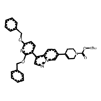 CC(C)(C)OC(=O)N1CC=C(c2ccc3c(-c4ccc(OCc5ccccc5)nc4OCc4ccccc4)cnn3c2)CC1